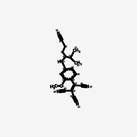 COc1cc(NC(CCC#N)C(C)C)ccc1C(C#N)=C(C#N)C#N